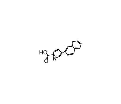 O=C(O)c1ccc(-c2ccc3ccccc3c2)cn1